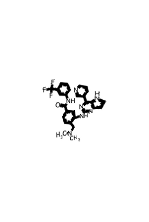 CN(C)Cc1ccc(C(=O)Nc2cccc(C(F)(F)F)c2)cc1Nc1nc(-c2cccnc2)c2[nH]ccc2n1